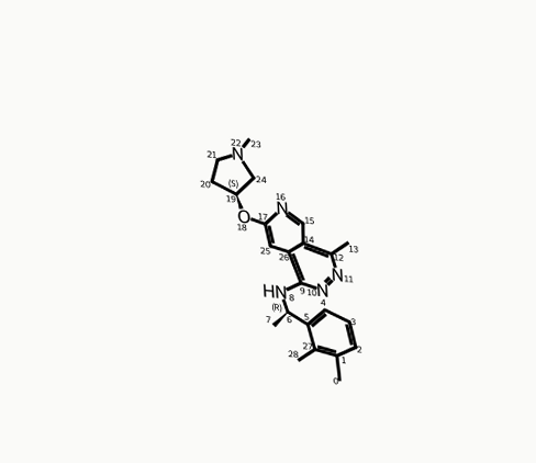 Cc1cccc([C@@H](C)Nc2nnc(C)c3cnc(O[C@H]4CCN(C)C4)cc23)c1C